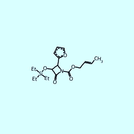 CC=CCOC(=O)N1C(=O)C(O[Si](CC)(CC)CC)C1c1ccco1